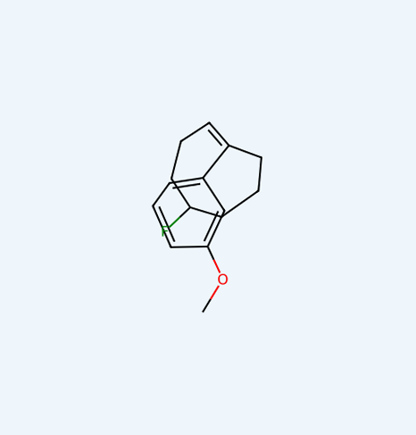 COc1cccc(/C2=C\CCC(F)CCC2)c1